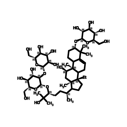 CC[C@@]12CCC([C@H](C)CC[C@@H](O[C@@H]3O[C@H](CO)[C@@H](O)[C@H](O)[C@H]3O[C@@H]3O[C@H](CO)[C@@H](O)[C@H](O)[C@H]3O)C(C)(C)O)[C@@]1(C)C[C@@H](O)[C@@]1(C)C3CC[C@H](O[C@@H]4O[C@H](CO)[C@@H](O)[C@H](O)[C@H]4O)C(C)(C)C3=CCC12